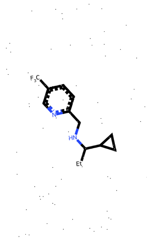 CCC(NCc1ccc(C(F)(F)F)cn1)C1CC1